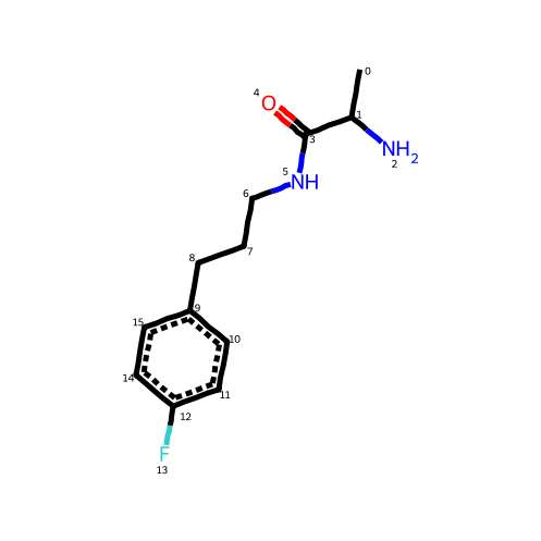 CC(N)C(=O)NCCCc1ccc(F)cc1